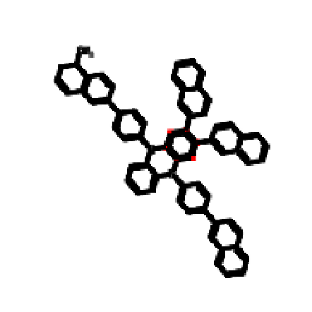 CC1CC=Cc2cc(-c3ccc(N(c4ccc(-c5ccc6ccccc6c5)cc4)c4ccccc4N(c4ccc(-c5ccc6ccccc6c5)cc4)c4ccc(-c5ccc6ccccc6c5)cc4)cc3)ccc21